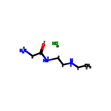 CCNCCNC(=O)CN.Cl